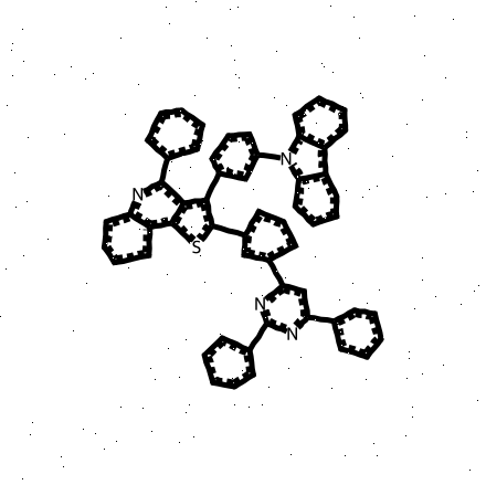 c1ccc(-c2cc(-c3cccc(-c4sc5c(c(-c6ccccc6)nc6ccccc65)c4-c4cccc(-n5c6ccccc6c6ccccc65)c4)c3)nc(-c3ccccc3)n2)cc1